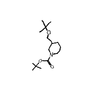 CC(C)(C)OCC1CCCN(C(=O)OC(C)(C)C)C1